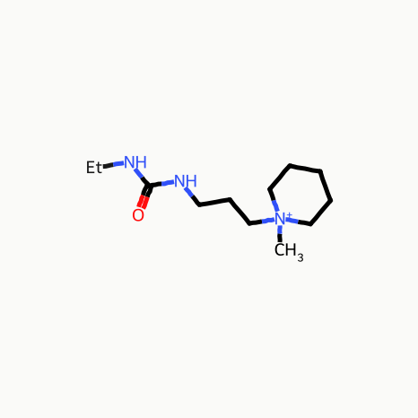 CCNC(=O)NCCC[N+]1(C)CCCCC1